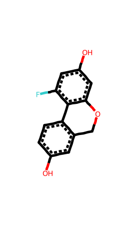 Oc1ccc2c(c1)COc1cc(O)cc(F)c1-2